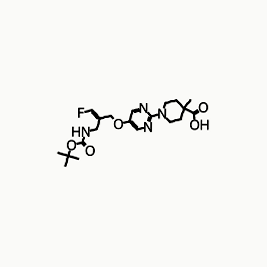 CC(C)(C)OC(=O)NC/C(=C\F)COc1cnc(N2CCC(C)(C(=O)O)CC2)nc1